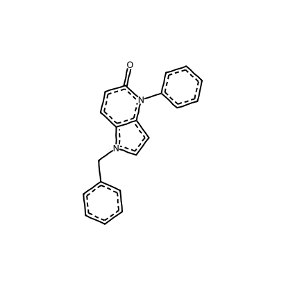 O=c1ccc2c(ccn2Cc2ccccc2)n1-c1ccccc1